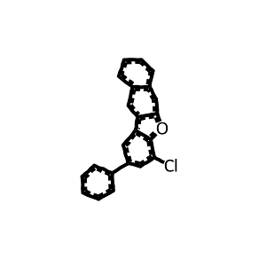 Clc1cc(-c2ccccc2)cc2c1oc1cc3ccccc3cc12